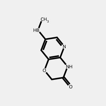 CBc1cnc2c(c1)OCC(=O)N2